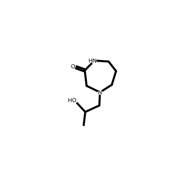 CC(O)CN1CCCNC(=O)C1